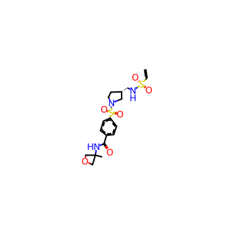 C=CS(=O)(=O)NC[C@H]1CCN(S(=O)(=O)c2ccc(C(=O)NC3(C)COC3)cc2)C1